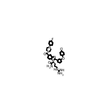 COc1ccc(Oc2cccc(-c3nc4cc(C(=O)N5CCN(c6ccc(F)cc6)CC5)ccc4n3[C@@H](CCCNC(=N)N)C(N)=O)c2)cc1